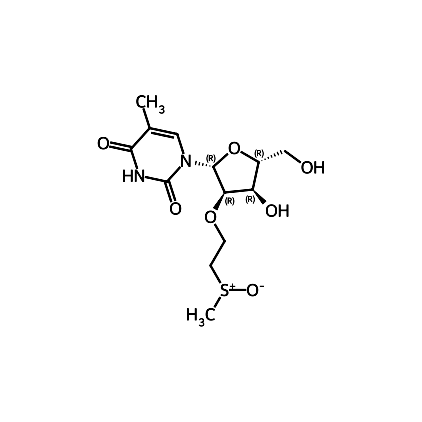 Cc1cn([C@@H]2O[C@H](CO)[C@@H](O)[C@H]2OCC[S+](C)[O-])c(=O)[nH]c1=O